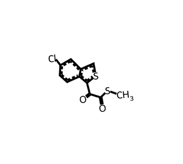 CSC(=O)C(=O)c1scc2cc(Cl)ccc12